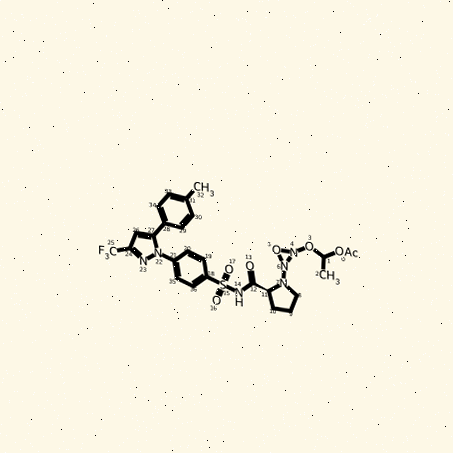 CC(=O)OC(C)On1on1N1CCC[C@H]1C(=O)NS(=O)(=O)c1ccc(-n2nc(C(F)(F)F)cc2-c2ccc(C)cc2)cc1